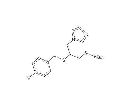 CCCCCCCCSCC(Cn1ccnc1)SCc1ccc(F)cc1